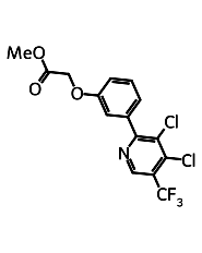 COC(=O)COc1cccc(-c2ncc(C(F)(F)F)c(Cl)c2Cl)c1